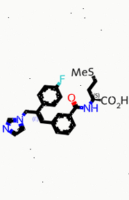 CSCC[C@H](NC(=O)c1cccc(/C=C(/Cn2ccnc2)c2ccc(F)cc2)c1)C(=O)O